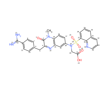 Cn1c(=O)c(Cc2ccc(C(=N)N)cc2)nc2cc(N(CC(=O)O)S(=O)(=O)c3cccc4cccnc34)ccc21